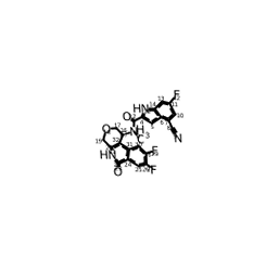 CN(C(=O)c1cc2c(C#N)cc(F)cc2[nH]1)[C@@H]1COCc2[nH]c(=O)c3cc(F)c(F)cc3c21